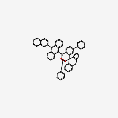 c1ccc(-c2ccc3c(c2)C2(c4ccccc4Oc4ccccc42)c2cc(-c4ccccc4)ccc2N3c2c3ccccc3c(-c3ccc4ccccc4c3)c3ccccc23)cc1